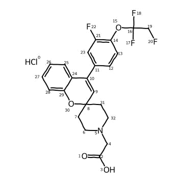 Cl.O=C(O)CN1CCC2(C=C(c3ccc(OC(F)(F)CF)c(F)c3)c3ccccc3O2)CC1